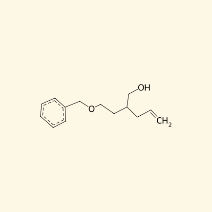 C=CCC(CO)CCOCc1ccccc1